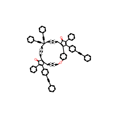 O=C1C(c2ccccc2)=C(c2ccc(C#Cc3ccccc3)cc2)C2=C1c1ccc(cc1)C(C#Cc1ccccc1)(C#Cc1ccccc1)c1ccc(cc1)C1=C(C(c3ccc(C#Cc4ccccc4)cc3)=C(c3ccccc3)C1=O)c1ccc(cc1)Oc1ccc2cc1